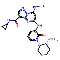 CNc1cc(Nc2cccn([C@H]3CCCC[C@H]3OC)c2=O)nc2c(C(=O)NC3CC3)cnn12